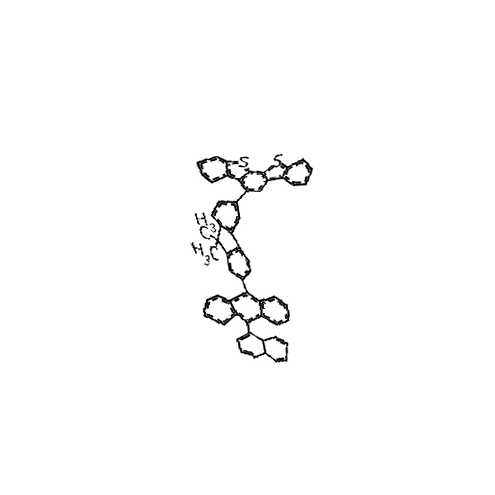 CC1(C)c2ccc(-c3cc4c5ccccc5sc4c4sc5ccccc5c34)cc2-c2ccc(-c3c4ccccc4c(C4=CC=CC5C=CC=CC45)c4ccccc34)cc21